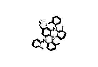 Cc1ccccc1N1c2cccc(C)c2B2c3cccc(C)c3N(c3ccccc3C)c3cc(SC(F)(F)F)cc1c32